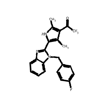 CC(=O)c1c(C)[nH]c(-c2nc3ccccc3n2Cc2ccc(F)cc2)c1C